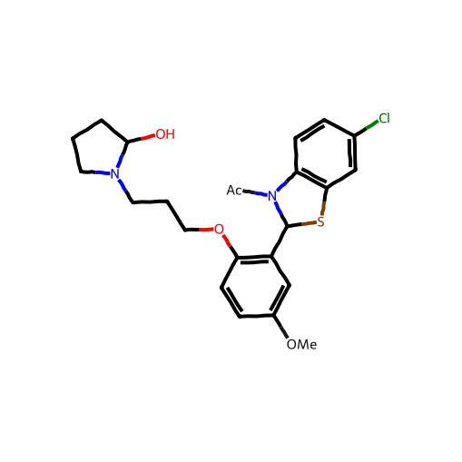 COc1ccc(OCCCN2CCCC2O)c(C2Sc3cc(Cl)ccc3N2C(C)=O)c1